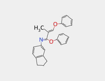 C/C(=C\Oc1ccccc1)C(=Nc1ccc2c(c1)CCC2)Oc1ccccc1